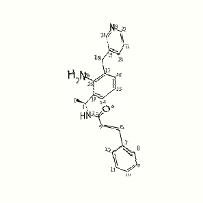 C[C@H](NC(=O)C=Cc1ccccc1)c1cccc(Cc2cccnc2)c1N